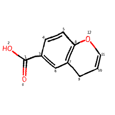 O=C(O)c1ccc2c(c1)CC=CO2